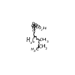 CCOP(=O)(OCC)C(CCOCC=C(C)CCC=C(C)CCC=C(C)C)C(=O)O